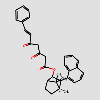 CC1(C)C2CC[C@]1(C)C(c1cccc3ccccc13)C2OC(=O)CC(=O)CC(=O)C=Cc1ccccc1